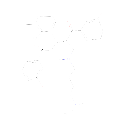 Cc1cccc(C2C(C(=O)c3cccc(O)c3)CN(CCCCN(C)C)CC2C(=O)c2cccc(O)c2)c1C